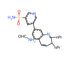 CCCC1=Nc2cc(-c3cncc(S(N)(=O)=O)c3)ccc2C=CC1CCC.NC=O